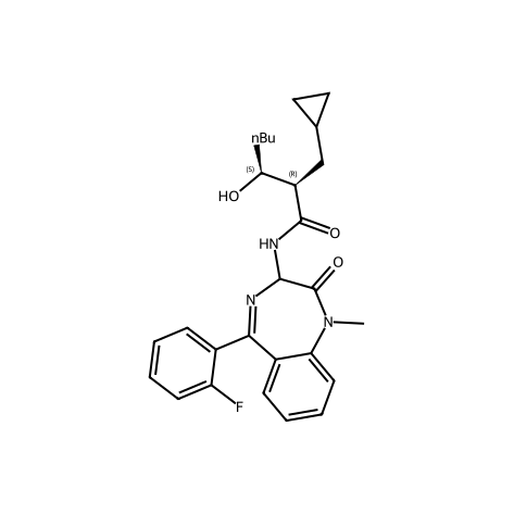 CCCC[C@H](O)[C@@H](CC1CC1)C(=O)NC1N=C(c2ccccc2F)c2ccccc2N(C)C1=O